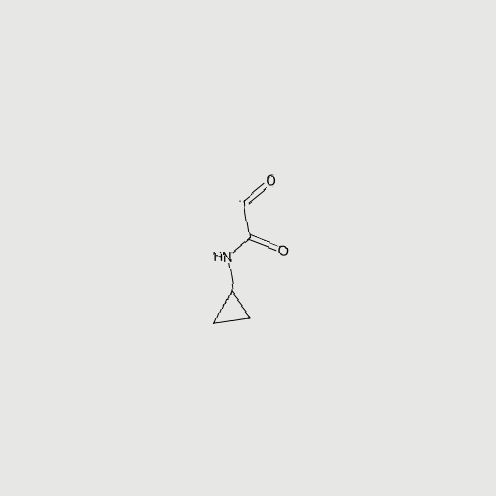 O=[C]C(=O)NC1CC1